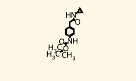 CC(C)(C)OC(=O)Nc1ccc(CC(=O)NC2CC2)cc1